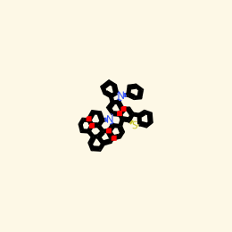 c1ccc(-n2c3ccccc3c3cc(N(c4ccccc4-c4cccc5c4sc4ccccc45)c4ccccc4-c4cccc5cccc(C6CCCCC6)c45)ccc32)cc1